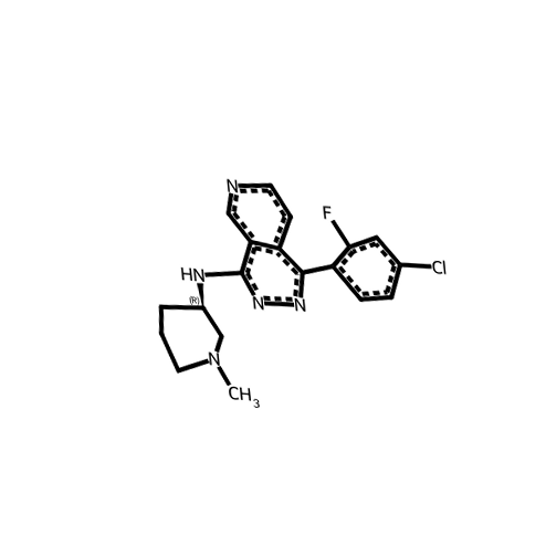 CN1CCC[C@@H](Nc2nnc(-c3ccc(Cl)cc3F)c3ccncc23)C1